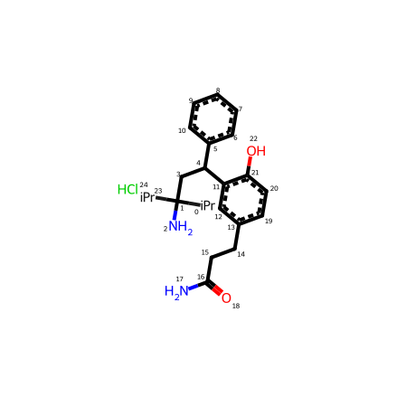 CC(C)C(N)(CC(c1ccccc1)c1cc(CCC(N)=O)ccc1O)C(C)C.Cl